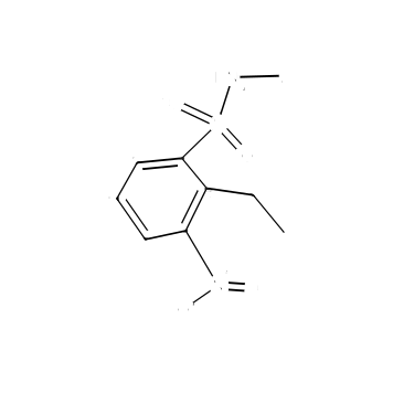 CCc1c([N+](=O)[O-])cccc1S(=O)(=O)NC